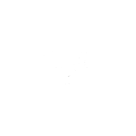 CC1CN(CC[C@](C)(CN(C)S(=O)(=O)c2ccccc2)c2ccccc2)CCC12C=Cc1ccccc12